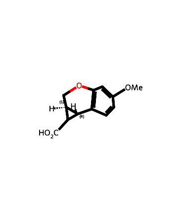 COc1ccc2c(c1)OC[C@@H]1C(C(=O)O)[C@H]21